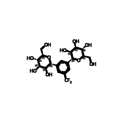 OC[C@H]1O[C@H](c2cc([C@H]3O[C@H](CO)[C@@H](O)[C@H](O)[C@@H]3O)cc(C(F)(F)F)c2)[C@@H](O)[C@@H](O)[C@@H]1O